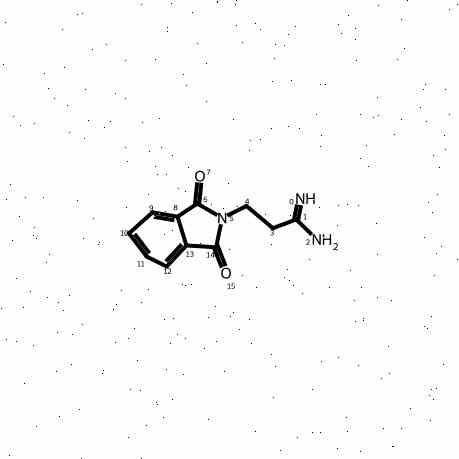 N=C(N)CCN1C(=O)c2ccccc2C1=O